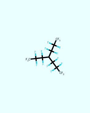 FC(F)(F)C(F)(F)C(F)(F)[C](C(F)(F)C(F)(F)C(F)(F)F)C(F)(F)C(F)(F)C(F)(F)F